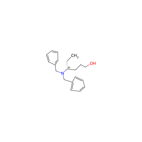 CC[C@H](CCCO)N(Cc1ccccc1)Cc1ccccc1